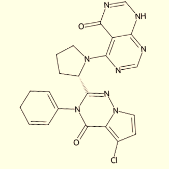 O=c1nc[nH]c2ncnc(N3CCC[C@H]3c3nn4ccc(Cl)c4c(=O)n3C3=CCCC=C3)c12